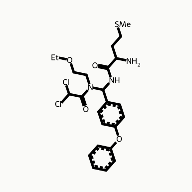 CCOCCN(C(=O)C(Cl)Cl)C(NC(=O)C(N)CCSC)c1ccc(Oc2ccccc2)cc1